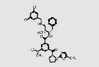 Cc1csc([C@H]2CCCN2C(=O)c2cc(C(=O)N[C@@H](Cc3ccccc3)[C@H](O)CNCc3cc(Cl)cc(Cl)c3)cc(N(C)C)c2)n1